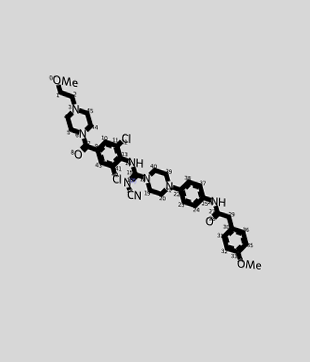 COCCN1CCN(C(=O)c2cc(Cl)c(N/C(=N/C#N)N3CCN(c4ccc(NC(=O)Cc5ccc(OC)cc5)cc4)CC3)c(Cl)c2)CC1